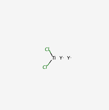 [Cl][Ti][Cl].[Y].[Y]